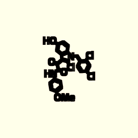 COc1ccc(NC(=O)C(=O)c2c(Cl)n(Cc3ccc(Cl)cc3Cl)c3ccc(O)cc23)cc1